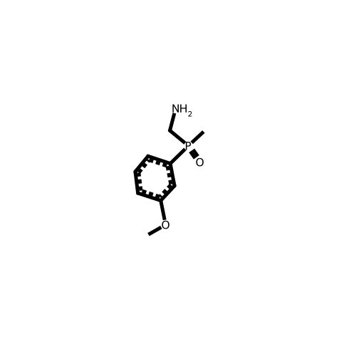 COc1cccc(P(C)(=O)CN)c1